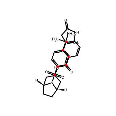 CC(C)(N)c1ccc(S(=O)(=O)N2[C@@H]3CC[C@H]2C[C@H](NC(=O)c2ccc4c(c2)CC(=O)N4)C3)cc1